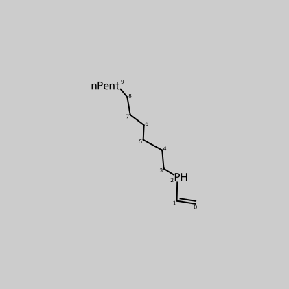 C=CPCCCCCCCCCCC